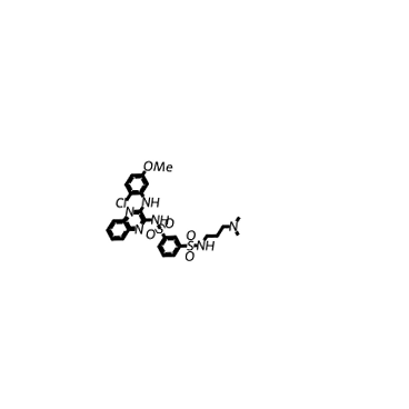 COc1ccc(Cl)c(Nc2nc3ccccc3nc2NS(=O)(=O)c2cccc(S(=O)(=O)NCCCN(C)C)c2)c1